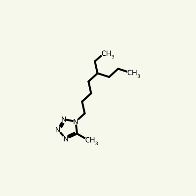 CCCC(CC)CCCCn1nnnc1C